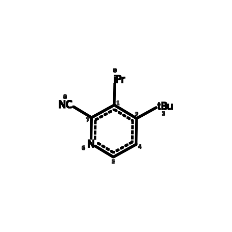 CC(C)c1c(C(C)(C)C)ccnc1C#N